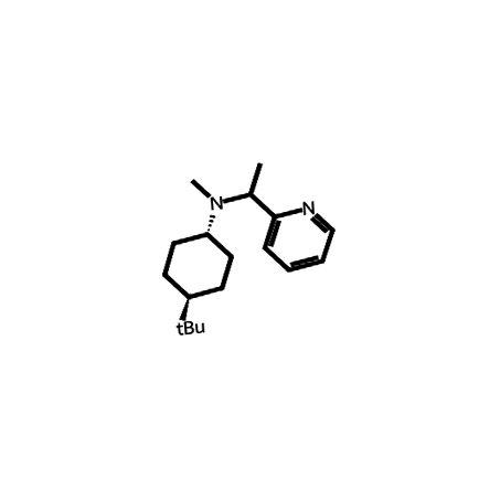 CC(c1ccccn1)N(C)[C@H]1CC[C@H](C(C)(C)C)CC1